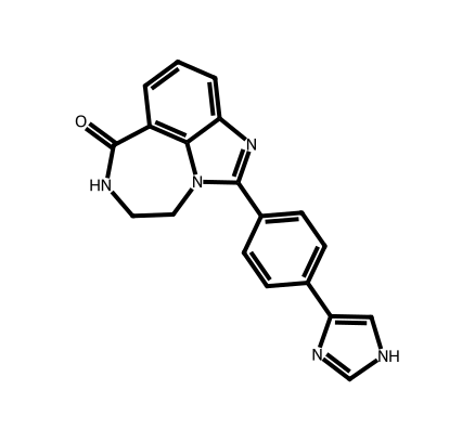 O=C1NCCn2c(-c3ccc(-c4c[nH]cn4)cc3)nc3cccc1c32